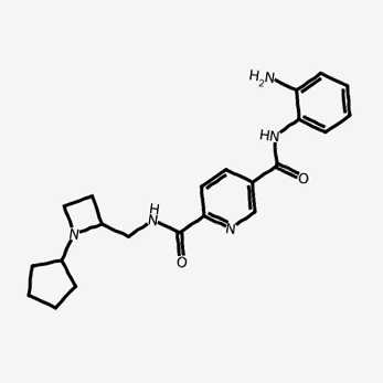 Nc1ccccc1NC(=O)c1ccc(C(=O)NCC2CCN2C2CCCC2)nc1